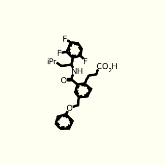 CC(C)CC(NC(=O)c1cc(COc2ccccc2)ccc1CCC(=O)O)c1c(F)ccc(F)c1F